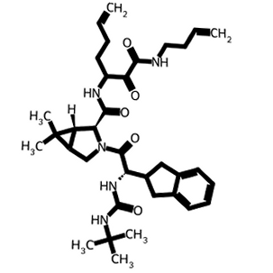 C=CCCNC(=O)C(=O)C(CCC=C)NC(=O)[C@@H]1[C@@H]2C(CN1C(=O)[C@@H](NC(=O)NC(C)(C)C)C1Cc3ccccc3C1)C2(C)C